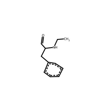 CCNC(C=O)Cc1ccccc1